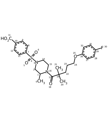 CC1CN(S(=O)(=O)c2ccc(C(=O)O)cc2)CCN1C(=O)C(C)(C)CCCOc1ccc(F)cc1